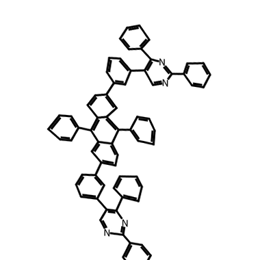 c1ccc(-c2ncc(-c3cccc(-c4ccc5c(-c6ccccc6)c6cc(-c7cccc(-c8cnc(-c9ccccc9)nc8-c8ccccc8)c7)ccc6c(-c6ccccc6)c5c4)c3)c(-c3ccccc3)n2)cc1